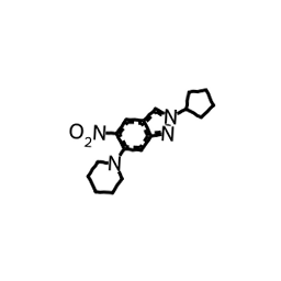 O=[N+]([O-])c1cc2cn(C3CCCC3)nc2cc1N1CCCCC1